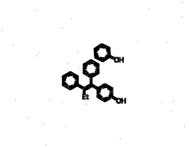 CCC(=C(c1ccccc1)c1ccc(O)cc1)c1ccccc1.Oc1ccccc1